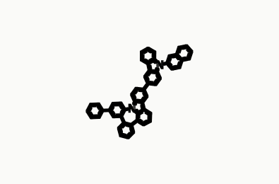 c1ccc(-c2ccc3c(c2)-c2ccccc2-c2cccc4c5cc(-c6ccc7c(c6)c6ccccc6n7-c6ccc7ccccc7c6)ccc5n-3c24)cc1